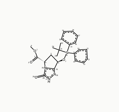 COC(=O)[C@@H]1C[C@@H](O[Si](c2ccccc2)(c2ccccc2)C(C)(C)C)c2n[nH]c(=O)n21